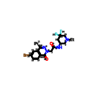 CCN1C[C@@H](NC(=O)Cn2nc(C(C)C)c3cc(Br)ccc3c2=O)CC(F)(F)C1